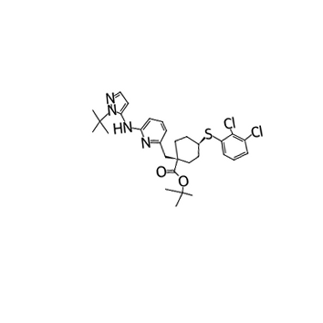 CC(C)(C)OC(=O)[C@]1(Cc2cccc(Nc3ccnn3C(C)(C)C)n2)CC[C@@H](Sc2cccc(Cl)c2Cl)CC1